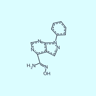 NC(=NO)c1ncnc2c1cnn2-c1ccccc1